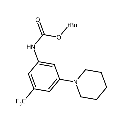 CC(C)(C)OC(=O)Nc1cc(N2CCCCC2)cc(C(F)(F)F)c1